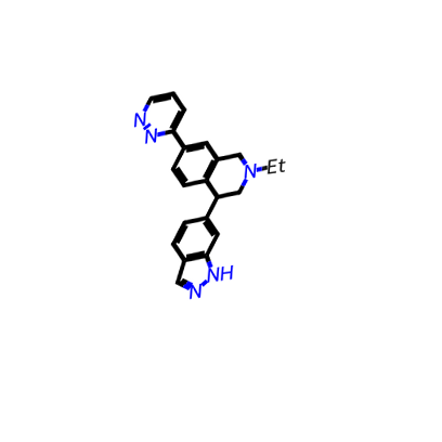 CCN1Cc2cc(-c3cccnn3)ccc2C(c2ccc3cn[nH]c3c2)C1